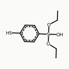 CCO[Si](O)(OCC)c1ccc(S)cc1